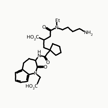 CCN(CCCCN)C(=O)CC(CC1(C(=O)NC2CCc3ccccc3N(CC(=O)O)C2=O)CCCC1)C(=O)O